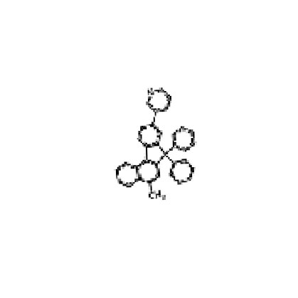 Cc1cc2c(c3ccccc13)-c1ccc(-c3cccnc3)cc1C2(c1ccccc1)c1ccccc1